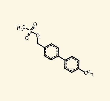 Cc1ccc(-c2ccc(COS(C)(=O)=O)cc2)cc1